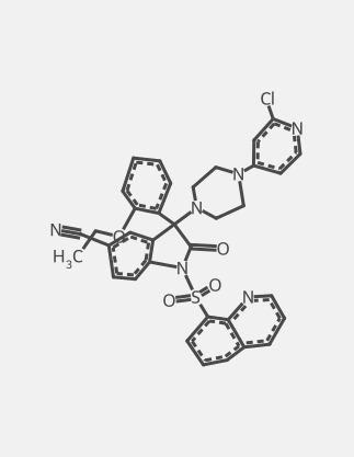 CCOc1ccccc1C1(N2CCN(c3ccnc(Cl)c3)CC2)C(=O)N(S(=O)(=O)c2cccc3cccnc23)c2ccc(C#N)cc21